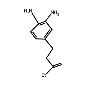 C=C(CC)CCc1ccc(N)c(N)c1